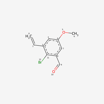 C=Cc1cc(OC)cc(C=O)c1Br